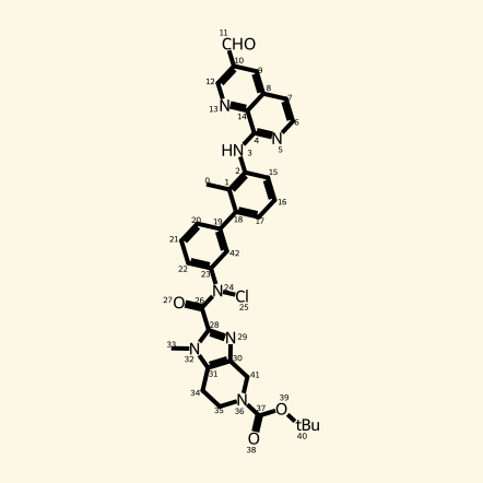 Cc1c(Nc2nccc3cc(C=O)cnc23)cccc1-c1cccc(N(Cl)C(=O)c2nc3c(n2C)CCN(C(=O)OC(C)(C)C)C3)c1